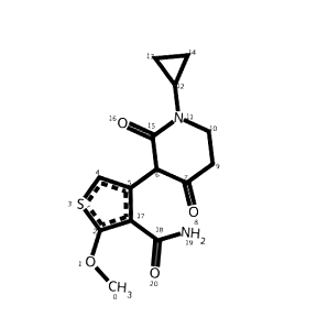 COc1scc(C2C(=O)CCN(C3CC3)C2=O)c1C(N)=O